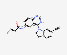 C#Cc1ccc2c(c1)N(c1ncnc3ccc(NC(=O)/C=C/C)cc13)CC2